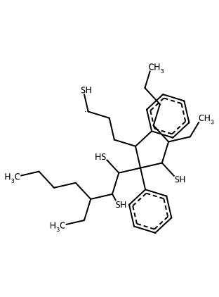 CCCCC(CC)C(S)[C](S)C(c1ccccc1)(C(CC[CH]S)c1ccccc1)C(S)C(CC)CCCC